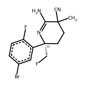 CC1(C#N)CC[C@@](CF)(c2cc(Br)ccc2F)N=C1N